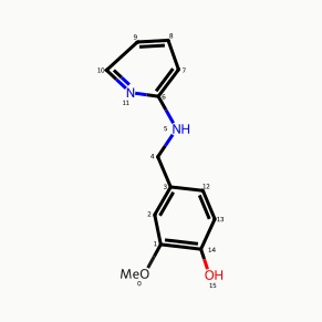 COc1cc(CNc2ccccn2)ccc1O